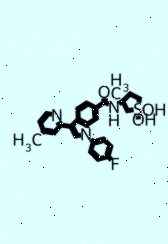 Cc1ccnc(-c2cn(-c3ccc(F)cc3)c3cc(C(=O)NC4(C)CCS(O)(O)C4)ccc23)c1